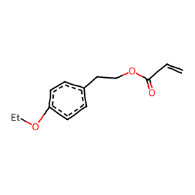 C=CC(=O)OCCc1ccc(OCC)cc1